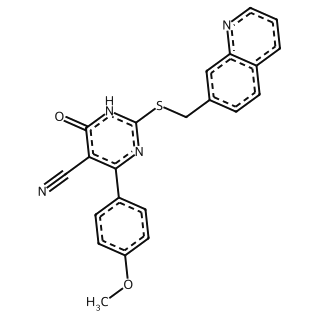 COc1ccc(-c2nc(SCc3ccc4cccnc4c3)[nH]c(=O)c2C#N)cc1